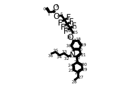 C=CC(=O)OCC(F)(F)C(F)(F)C(F)(F)COc1ccc2cc(-c3ccc(CC)cc3)n(CCCCC)c2c1